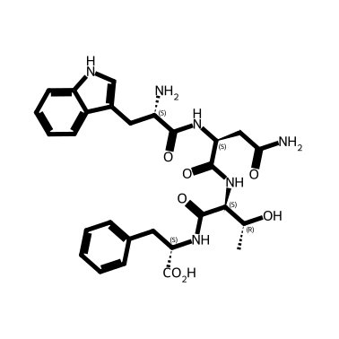 C[C@@H](O)[C@H](NC(=O)[C@H](CC(N)=O)NC(=O)[C@@H](N)Cc1c[nH]c2ccccc12)C(=O)N[C@@H](Cc1ccccc1)C(=O)O